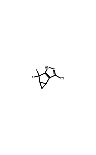 N#Cc1n[nH]c2c1C1CC1C2(F)F